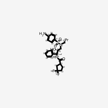 CC(C)CN(C[C@@H](O)[C@@](C)(NC(=O)C1CCC(F)(F)C1)c1ccccc1)S(=O)(=O)c1ccc(N)cc1